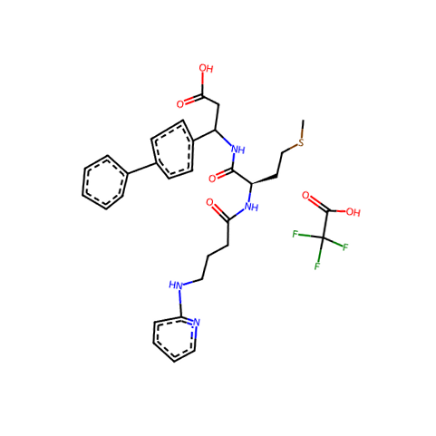 CSCC[C@@H](NC(=O)CCCNc1ccccn1)C(=O)NC(CC(=O)O)c1ccc(-c2ccccc2)cc1.O=C(O)C(F)(F)F